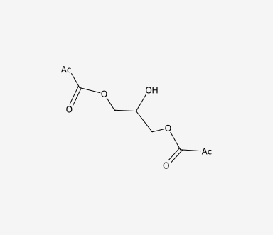 CC(=O)C(=O)OCC(O)COC(=O)C(C)=O